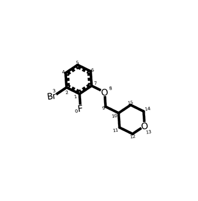 Fc1c(Br)cccc1OCC1CCOCC1